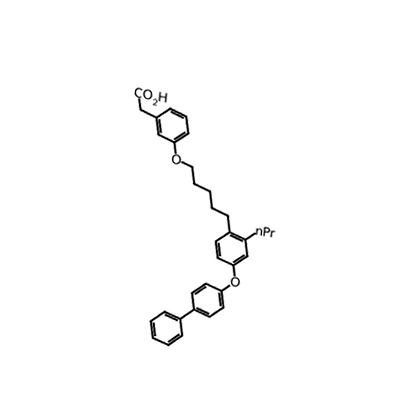 CCCc1cc(Oc2ccc(-c3ccccc3)cc2)ccc1CCCCCOc1cccc(CC(=O)O)c1